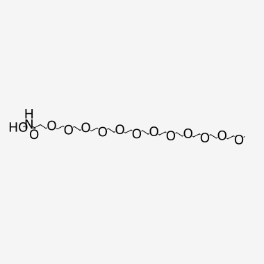 COCCOCCOCCOCCOCCOCCOCCOCCOCCOCCOCCOCCC(=O)NO